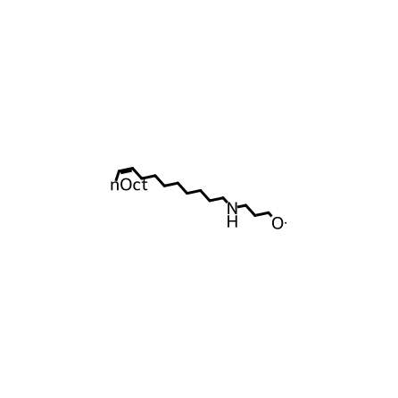 CCCCCCCC/C=C\CCCCCCCCNCCC[O]